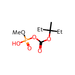 CCC(C)(CC)OC(=O)OP(=O)(O)OC